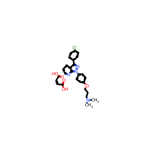 CN(C)CCCOc1ccc(-n2nc(-c3ccc(Cl)cc3)c3cccnc32)cc1.O=C(O)/C=C\C(=O)O